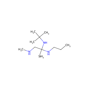 CCCNC([SiH3])(CNC)NC(C)(C)C